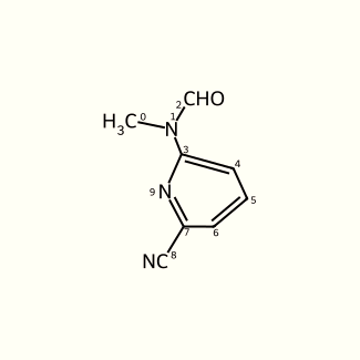 CN(C=O)c1cccc(C#N)n1